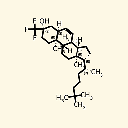 C[C@H](CCCC(C)(C)C)[C@H]1CC[C@H]2[C@@H]3C=C[C@@H]4C[C@](O)(C(F)(F)F)CC[C@]4(C)[C@H]3CC[C@]12C